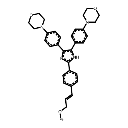 CCOC/C=C/c1ccc(-c2nc(-c3ccc(N4CCOCC4)cc3)c(-c3ccc(N4CCOCC4)cc3)[nH]2)cc1